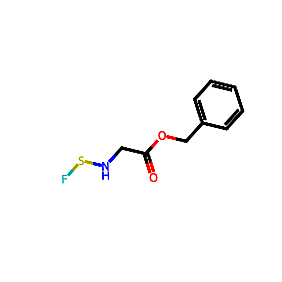 O=C(CNSF)OCc1ccccc1